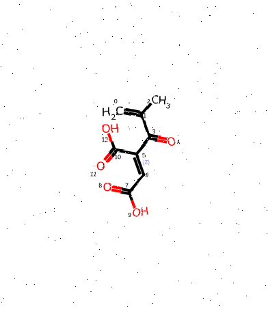 C=C(C)C(=O)/C(=C/C(=O)O)C(=O)O